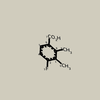 Cc1c(F)ccc(C(=O)O)c1C